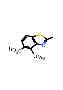 COc1c(C(=O)O)ccc2sc(C)nc12